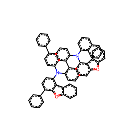 c1ccc(-c2ccc(N(c3ccccc3-c3ccccc3N(c3cccc4ccccc34)c3cccc4oc5ccccc5c34)c3ccc(-c4ccccc4)c4oc5ccccc5c34)cc2)cc1